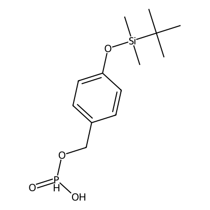 CC(C)(C)[Si](C)(C)Oc1ccc(CO[PH](=O)O)cc1